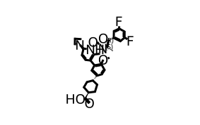 COc1ccc([C@H]2CC[C@H](C(=O)O)CC2)cc1C1=C(CN2C(=O)O[C@H](c3cc(F)cc(F)c3)[C@@H]2C)NC(N2CCC2)C=C1